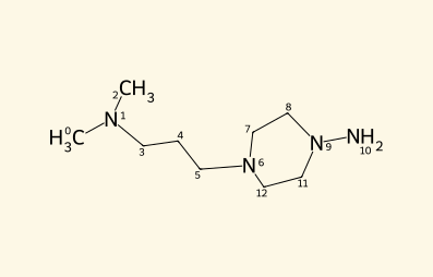 CN(C)CCCN1CCN(N)CC1